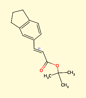 CC(C)(C)OC(=O)/C=C/c1ccc2c(c1)CCC2